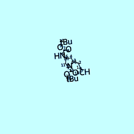 C#CC[C@@H]1C[C@@H](NC(=O)OC(C)(C)C)CN1C(=O)OC(C)(C)C